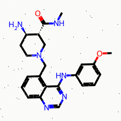 CNC(=O)[C@@H]1CN(Cc2cccc3ncnc(Nc4cccc(OC)c4)c23)CC[C@H]1N